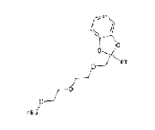 CCCCOCCOCCOCC1(C(C)C)Oc2ccccc2O1